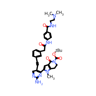 CN(C)CCNC(=O)c1ccc(NC(=O)Cc2cccc(C#Cc3cnc(N)nc3-c3cc4c(n3C)CCN(C(=O)OC(C)(C)C)C4=O)c2)cc1